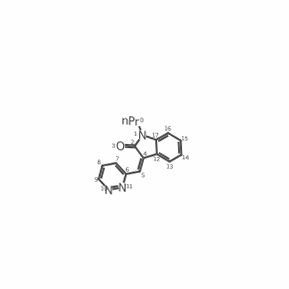 CCCN1C(=O)C(=Cc2cccnn2)c2ccccc21